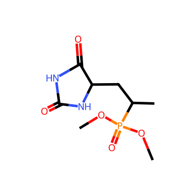 COP(=O)(OC)C(C)CC1NC(=O)NC1=O